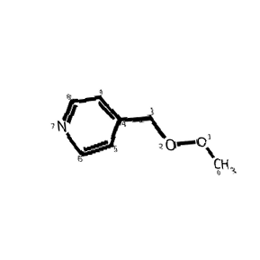 COOCc1ccncc1